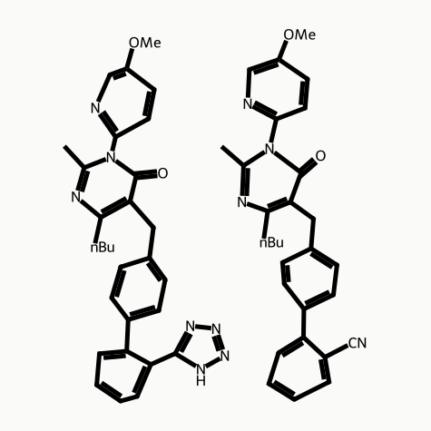 CCCCc1nc(C)n(-c2ccc(OC)cn2)c(=O)c1Cc1ccc(-c2ccccc2-c2nnn[nH]2)cc1.CCCCc1nc(C)n(-c2ccc(OC)cn2)c(=O)c1Cc1ccc(-c2ccccc2C#N)cc1